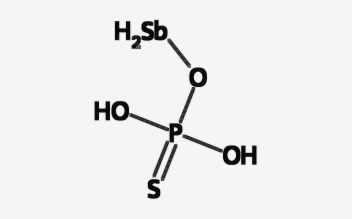 OP(O)(=S)[O][SbH2]